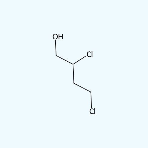 OCC(Cl)CCCl